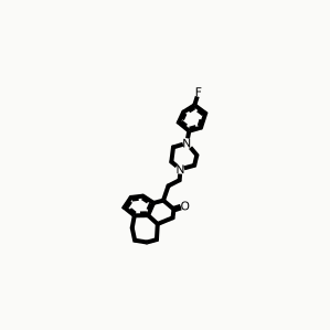 O=C1CC2CCCCc3cccc(c32)C1CCN1CCN(c2ccc(F)cc2)CC1